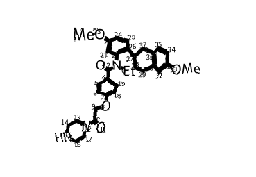 CCN(C(=O)c1ccc(OCC(=O)N2CCNCC2)cc1)c1cc(OC)ccc1C1CCc2cc(OC)ccc2C1